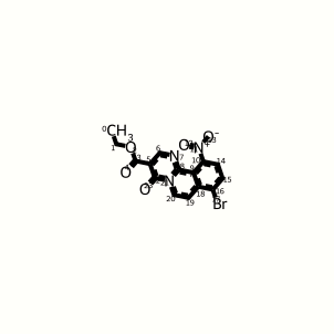 CCOC(=O)c1cnc2c3c([N+](=O)[O-])ccc(Br)c3ccn2c1=O